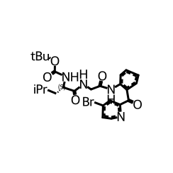 CC(C)C[C@H](NC(=O)OC(C)(C)C)C(=O)NCC(=O)Nc1ccccc1C(=O)c1cc(Br)ccn1